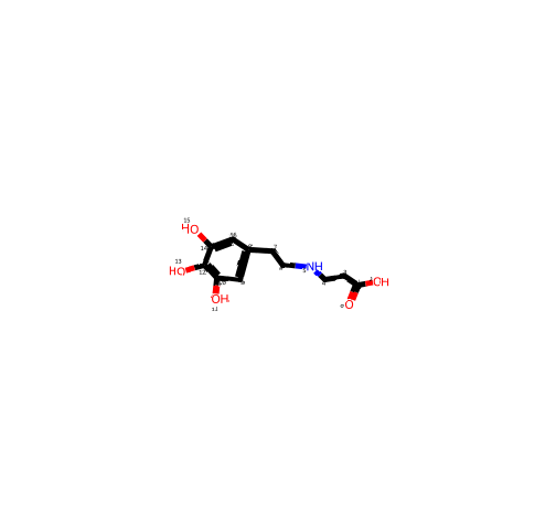 O=C(O)CCNCCc1cc(O)c(O)c(O)c1